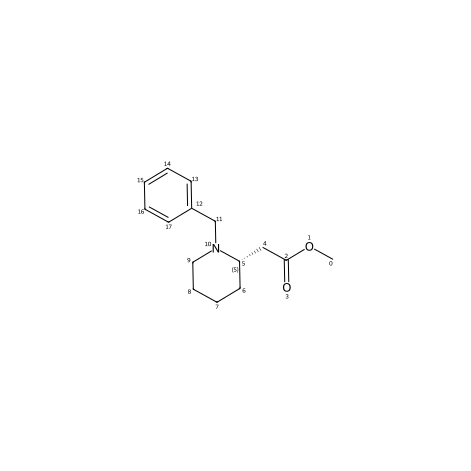 COC(=O)C[C@@H]1CCCCN1Cc1ccccc1